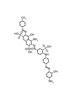 Cc1ccc(/N=N/c2c(S(=O)(=O)O)cc3cc(S(=O)(=O)O)c(/N=N/c4ccc(Nc5ccc(/N=N/c6ccc(N)cc6O)cc5)c(S(=O)(=O)O)c4)c(N)c3c2O)cc1